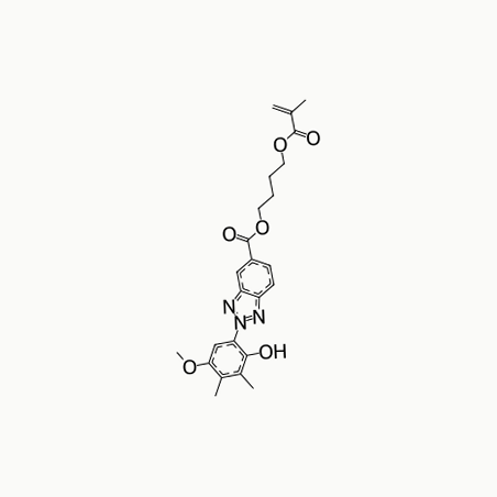 C=C(C)C(=O)OCCCCOC(=O)c1ccc2nn(-c3cc(OC)c(C)c(C)c3O)nc2c1